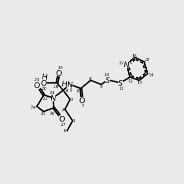 CCCCC(NC(=O)CCSSc1ccccn1)(C(=O)O)N1C(=O)CCC1=O